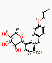 CCCOc1ccc(Cc2cc(C3OC(C)C(O)C(O)C3O)ccc2Cl)cc1